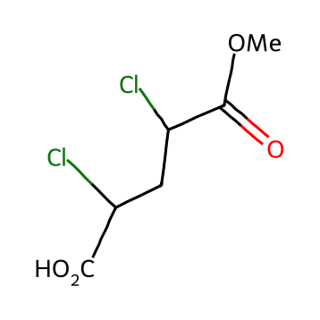 COC(=O)C(Cl)CC(Cl)C(=O)O